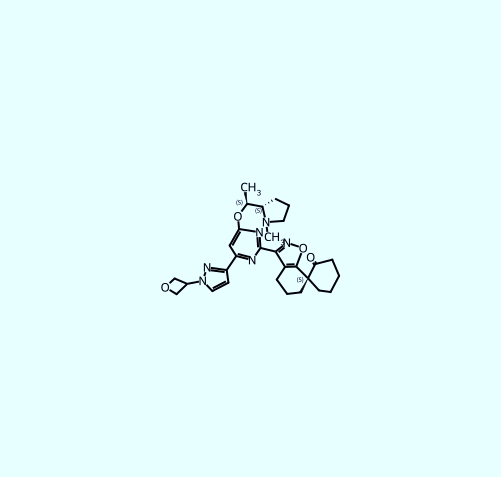 C[C@H](Oc1cc(-c2ccn(C3COC3)n2)nc(-c2noc3c2CCC[C@@]32CCCCC2=O)n1)[C@@H]1CCCN1C